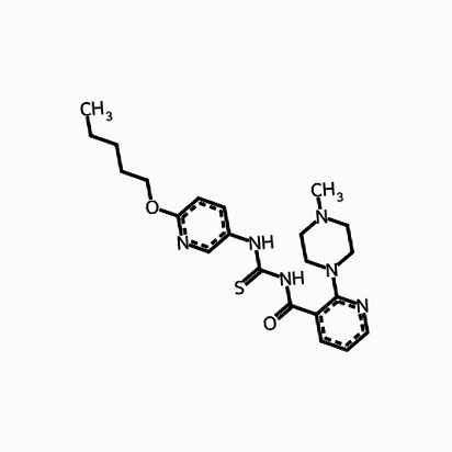 CCCCCOc1ccc(NC(=S)NC(=O)c2cccnc2N2CCN(C)CC2)cn1